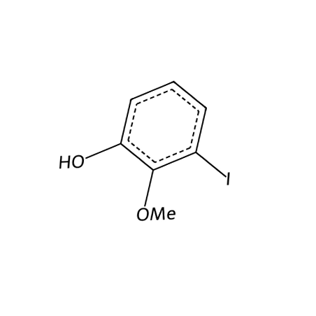 COc1c(O)cccc1I